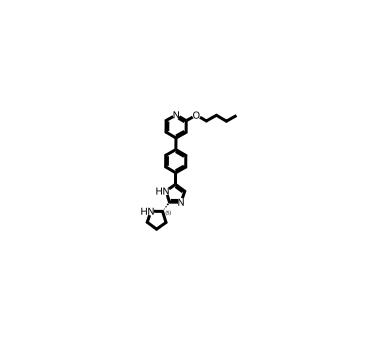 CCCCOc1cc(-c2ccc(-c3cnc([C@@H]4CCCN4)[nH]3)cc2)ccn1